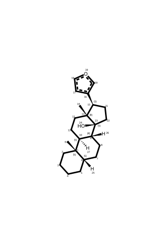 C[C@]12CCCC[C@H]1CC[C@@H]1[C@@H]2CC[C@]2(C)[C@@H](c3ccoc3)CC[C@]12O